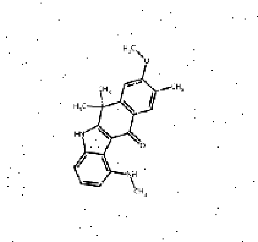 CNc1cccc2[nH]c3c(c12)C(=O)c1cc(C)c(OC)cc1C3(C)C